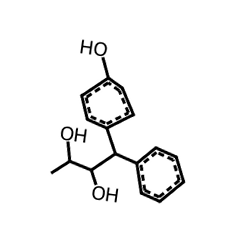 CC(O)C(O)C(c1ccccc1)c1ccc(O)cc1